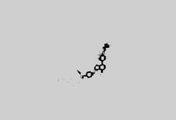 CC#C[C@@H](CC(=O)O)c1ccc(O[C@@H]2CCc3c(-c4ccc(OCC5(C)COC5)nc4)ccc(F)c32)cc1